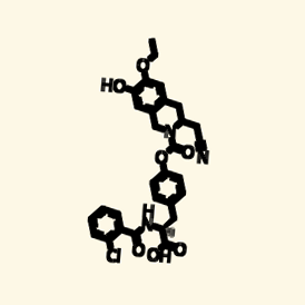 CCOc1cc2c(cc1O)CN(C(=O)Oc1ccc(C[C@H](NC(=O)c3ccccc3Cl)C(=O)O)cc1)C(CC#N)C2